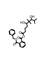 CC(C)C(O)C(C)(C)C(O)CCCC(=O)OC(=O)c1ccccc1C(=O)OCc1ccccc1